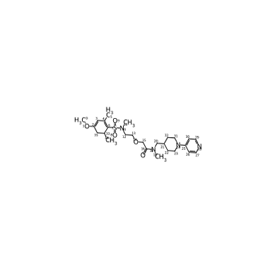 COC1=CC(C)=C(S(=O)(=O)N(C)CCOCC(=O)N(C)CC2CCN(c3ccncc3)CC2)C(C)C1